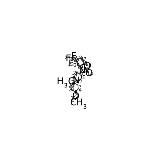 CCO[C@H]1CC[C@](C)(N2CCC(n3c(=O)oc4ccc(C(F)(F)F)cc43)CC2)CC1